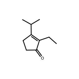 CCC1=C(C(C)C)CCC1=O